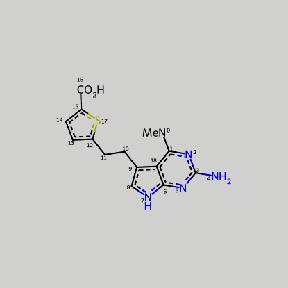 CNc1nc(N)nc2[nH]cc(CCc3ccc(C(=O)O)s3)c12